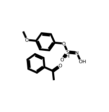 CC(=O)c1ccccc1.COc1ccc(O[SH](=O)=NO)cc1